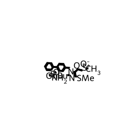 CCCCc1nc(SC)c(C(=O)C[S+](C)[O-])n1Cc1ccc(-c2ccccc2S(N)(=O)=O)cc1